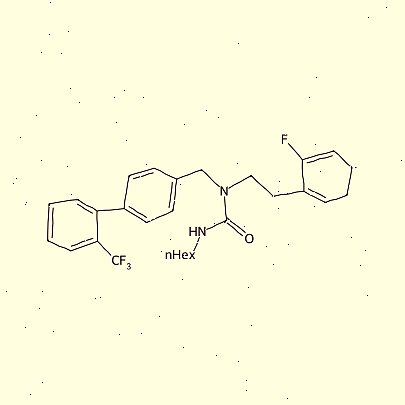 CCCCCCNC(=O)N(CCC1=CC[CH]C=C1F)Cc1ccc(-c2ccccc2C(F)(F)F)cc1